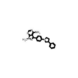 Cn1nc(-c2ccc(N3CCC(c4ccccc4)C3)cc2)c2c(N)ncnc21